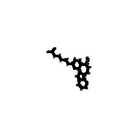 CN(C)CCCOCC1=NC=C2C(=C3C=C4C=CCOC4=C3C=CC2Cl)O1